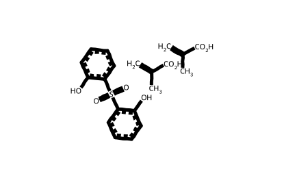 C=C(C)C(=O)O.C=C(C)C(=O)O.O=S(=O)(c1ccccc1O)c1ccccc1O